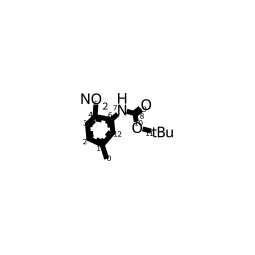 Cc1ccc([N+](=O)[O-])c(NC(=O)OC(C)(C)C)c1